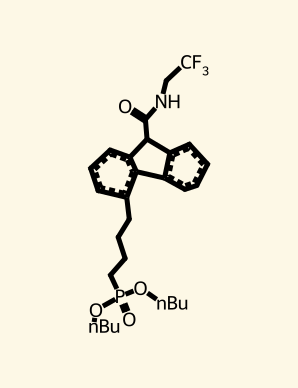 CCCCOP(=O)(CCCCc1cccc2c1-c1ccccc1C2C(=O)NCC(F)(F)F)OCCCC